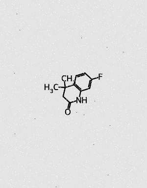 CC1(C)CC(=O)Nc2cc(F)ccc21